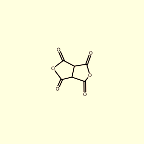 O=C1OC(=O)C2C(=O)OC(=O)C12